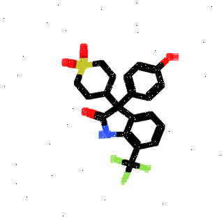 O=C1Nc2c(C(F)(F)F)cccc2C1(c1ccc(O)cc1)C1CCS(=O)(=O)CC1